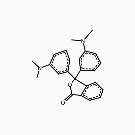 CN(C)c1cccc(C2(c3cccc(N(C)C)c3)OC(=O)c3ccccc32)c1